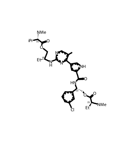 CC[C@H](COC(=O)[C@@H](NC)C(C)C)Nc1ncc(C)c(-c2c[nH]c(C(=O)N[C@H](COC(=O)[C@H](CC)NC)c3cccc(Cl)c3)c2)n1